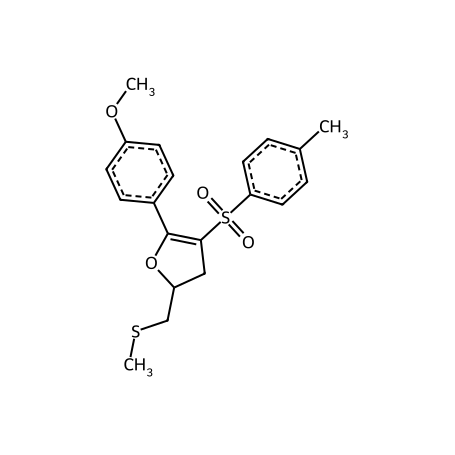 COc1ccc(C2=C(S(=O)(=O)c3ccc(C)cc3)CC(CSC)O2)cc1